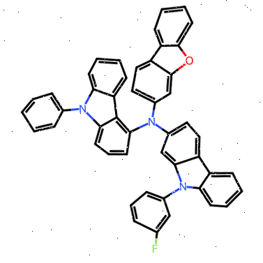 Fc1cccc(-n2c3ccccc3c3ccc(N(c4ccc5c(c4)oc4ccccc45)c4cccc5c4c4ccccc4n5-c4ccccc4)cc32)c1